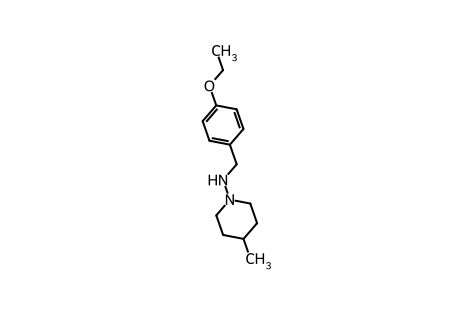 CCOc1ccc(CNN2CCC(C)CC2)cc1